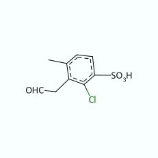 Cc1ccc(S(=O)(=O)O)c(Cl)c1CC=O